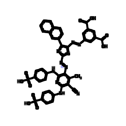 Cc1c(C#N)c(Nc2ccc(S(=O)(=O)O)cc2)nc(Nc2ccc(S(=O)(=O)O)cc2)c1/N=N/c1nc(-c2ccc3ccccc3c2)c(N=Nc2cc(C(=O)O)cc(C(=O)O)c2)s1